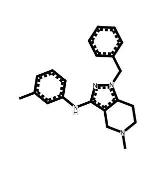 Cc1cccc(Nc2nn(Cc3ccccc3)c3c2CN(C)CC3)c1